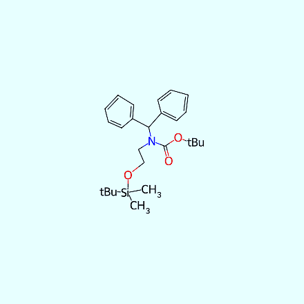 CC(C)(C)OC(=O)N(CCO[Si](C)(C)C(C)(C)C)C(c1ccccc1)c1ccccc1